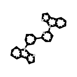 c1cc(-c2cccc(-n3c4ccccc4c4ccoc43)n2)cc(-n2c3ccccc3c3ccoc32)c1